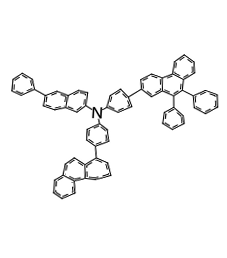 c1ccc(-c2ccc3cc(N(c4ccc(-c5ccc6c(c5)c(-c5ccccc5)c(-c5ccccc5)c5ccccc56)cc4)c4ccc(-c5cccc6c5ccc5ccccc56)cc4)ccc3c2)cc1